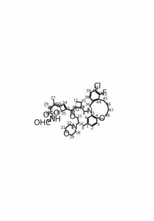 Cc1ccc2c(c1)N(C[C@@H]1CC[C@H]1[C@@H](OCCN1CCOCC1)C1=C[C@H]([C@H](C)[C@@H](C)S(=O)(=O)NC=O)C1)Cc1ccc(Cl)c(F)c1CCCCO2